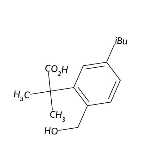 CCC(C)c1ccc(CO)c(C(C)(C)C(=O)O)c1